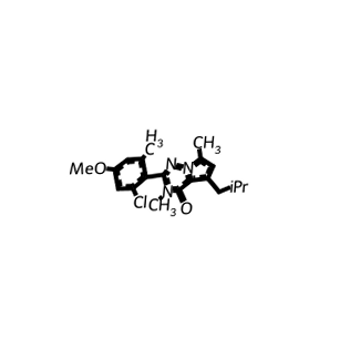 COc1cc(C)c(-c2nn3c(C)cc(CC(C)C)c3c(=O)n2C)c(Cl)c1